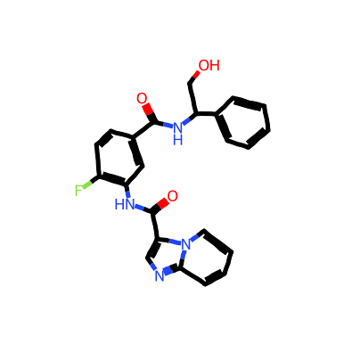 O=C(NC(CO)c1ccccc1)c1ccc(F)c(NC(=O)c2cnc3ccccn23)c1